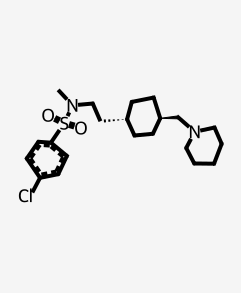 CN(CC[C@H]1CC[C@H](CN2CCCCC2)CC1)S(=O)(=O)c1ccc(Cl)cc1